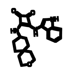 O=c1c(Nc2c[nH]c3ccccc23)c(NC2CCC3(CCOCC3)CC2)c1=O